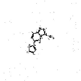 Nc1nnc2ccc(-c3ccco3)nn12